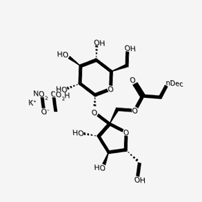 CC(=O)O.CCCCCCCCCCCC(=O)OC[C@@]1(O[C@H]2O[C@H](CO)[C@@H](O)[C@H](O)[C@H]2O)O[C@H](CO)[C@@H](O)[C@@H]1O.O=[N+]([O-])[O-].[K+]